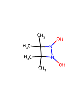 CC1(C)N(O)N(O)C1(C)C